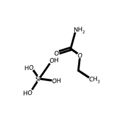 CCOC(N)=O.O[Si](O)(O)O